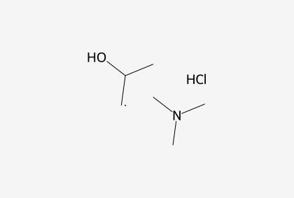 CN(C)C.Cl.[CH2]C(C)O